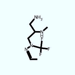 C/C=N\N(CC(CN)NC)C(F)(F)F